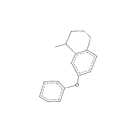 CC1CCCc2ccc(Oc3ccccc3)cc21